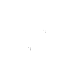 CC(C)(C)c1nccc2cccc(C#N)c12